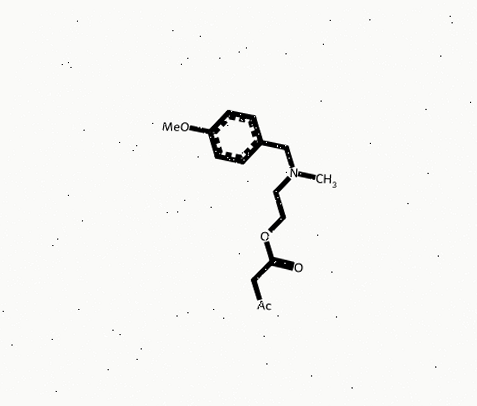 COc1ccc(CN(C)CCOC(=O)CC(C)=O)cc1